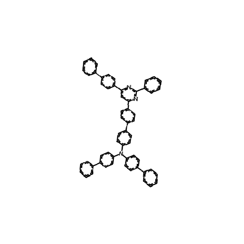 c1ccc(-c2ccc(-c3cc(-c4ccc(-c5ccc(N(c6ccc(-c7ccccc7)cc6)c6ccc(-c7ccccc7)cc6)cc5)cc4)nc(-c4ccccc4)n3)cc2)cc1